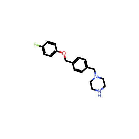 Fc1ccc(OCc2ccc(CN3CCNCC3)cc2)cc1